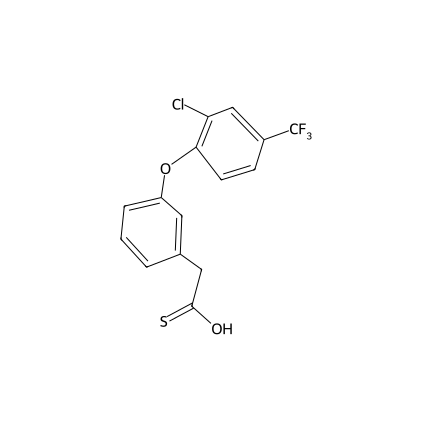 OC(=S)Cc1cccc(Oc2ccc(C(F)(F)F)cc2Cl)c1